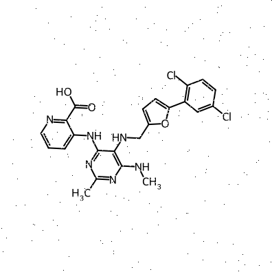 CNc1nc(C)nc(Nc2cccnc2C(=O)O)c1NCc1ccc(-c2cc(Cl)ccc2Cl)o1